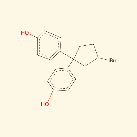 CCC(C)C1CCC(c2ccc(O)cc2)(c2ccc(O)cc2)C1